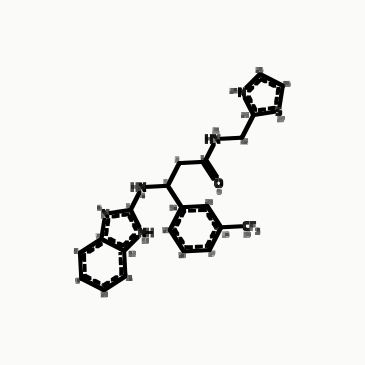 O=C(CC(Nc1nc2ccccc2[nH]1)c1cccc(C(F)(F)F)c1)NCc1nccs1